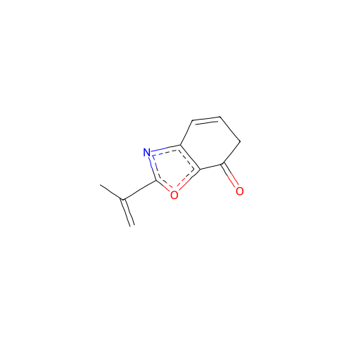 C=C(C)c1nc2c(o1)C(=O)CC=C2